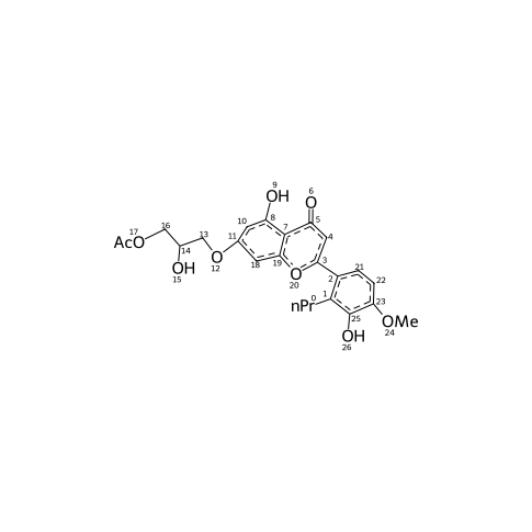 CCCc1c(-c2cc(=O)c3c(O)cc(OCC(O)COC(C)=O)cc3o2)ccc(OC)c1O